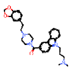 CN(C)CCCn1c2ccccc2c2cc(C(=O)N3CCN(CCc4ccc5c(c4)OCO5)CC3)ccc21